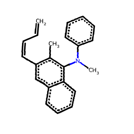 C=C/C=C\c1cc2ccccc2c(N(C)c2ccccc2)c1C